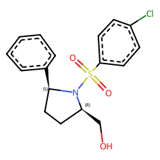 O=S(=O)(c1ccc(Cl)cc1)N1[C@@H](CO)CC[C@H]1c1ccccc1